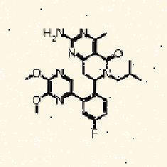 COc1ncc(-c2cc(F)ccc2C2Cc3nc(N)nc(C)c3C(=O)N2CC(C)C)nc1OC